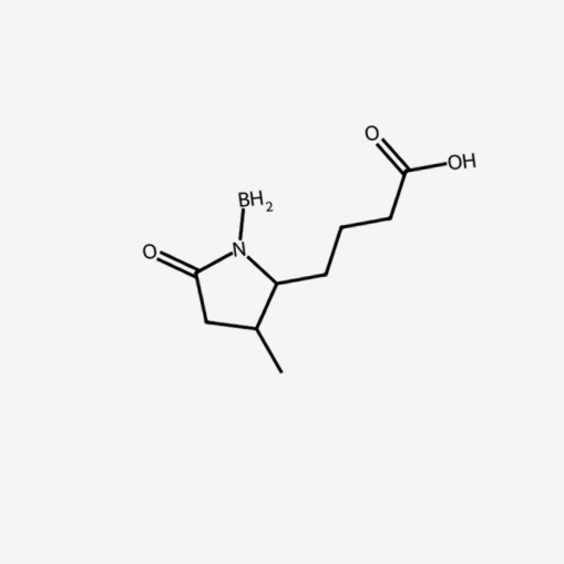 BN1C(=O)CC(C)C1CCCC(=O)O